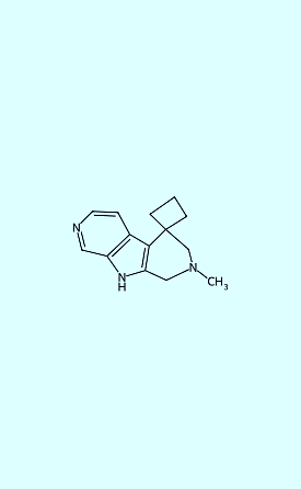 CN1Cc2[nH]c3cnccc3c2C2(CCC2)C1